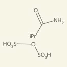 CC(C)C(N)=O.O=S(=O)(O)OS(=O)(=O)O